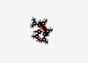 N#Cc1cc(-n2c3cc(-c4cc(C(F)(F)F)cc(C(F)(F)F)c4)ccc3c3ccc(-c4cc(C(F)(F)F)cc(C(F)(F)F)c4)cc32)c(-n2c3cc(-c4cc(C(F)(F)F)cc(C(F)(F)F)c4)ccc3c3ccc(-c4cc(C(F)(F)F)cc(C(F)(F)F)c4)cc32)cc1-c1cc(C(F)(F)F)cc(C(F)(F)F)c1